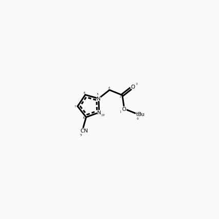 CC(C)(C)OC(=O)Cn1ccc(C#N)n1